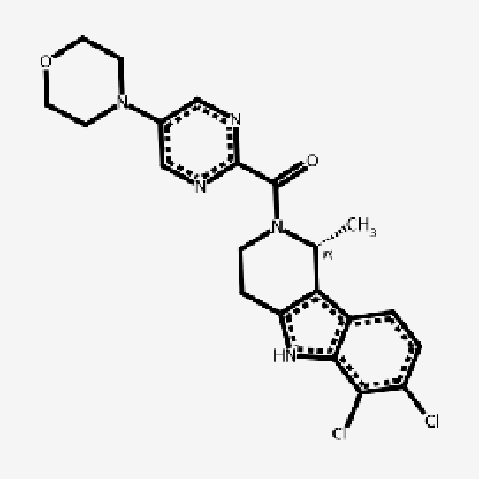 C[C@@H]1c2c([nH]c3c(Cl)c(Cl)ccc23)CCN1C(=O)c1ncc(N2CCOCC2)cn1